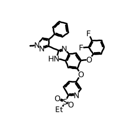 CCS(=O)(=O)c1ccc(Oc2cc3[nH]c(-c4nn(C)cc4-c4ccccc4)nc3cc2Oc2cccc(F)c2F)cn1